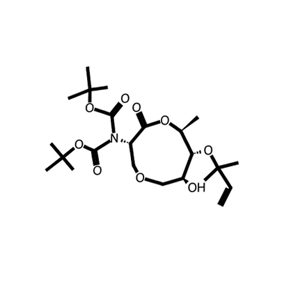 C=CC(C)(C)O[C@H]1[C@H](C)OC(=O)[C@@H](N(C(=O)OC(C)(C)C)C(=O)OC(C)(C)C)COC[C@@H]1O